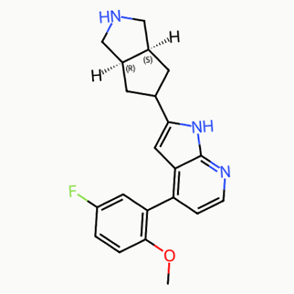 COc1ccc(F)cc1-c1ccnc2[nH]c(C3C[C@H]4CNC[C@H]4C3)cc12